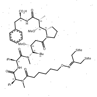 CC[C@H](C)[C@@H]([C@@H](CC(=O)N1CCC[C@H]1[C@H](OC)[C@@H](C)C(=O)N[C@@H](Cc1ccccc1)C(=O)O)OC)N(C)C(=O)[C@@H](NC(=O)[C@H](C(C)C)N(C)C(=O)CCCCCON=C(CSC)CSC)C(C)C